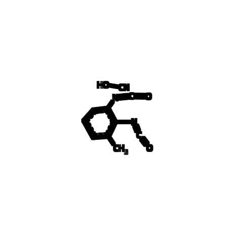 Cc1cccc(N=C=O)c1N=C=O.N#CO